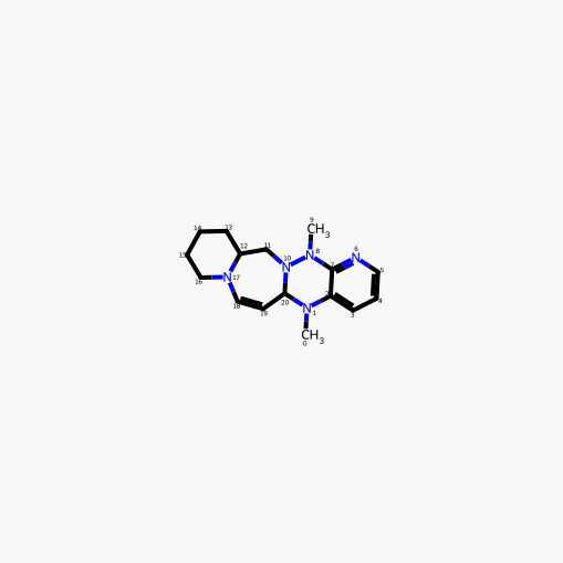 CN1c2cccnc2N(C)N2CC3CCCCN3C=CC12